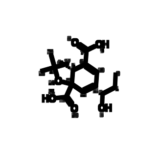 CCCO.C[C@@H]1C(C(=O)O)=CC=CC1(OC(C)(C)C)C(=O)O